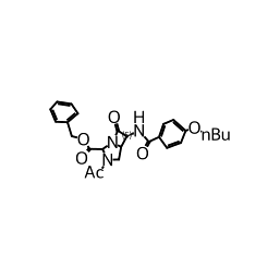 CCCCOc1ccc(C(=O)N[C@@H]2C(=O)N3C2CN(C(C)=O)C3C(=O)OCc2ccccc2)cc1